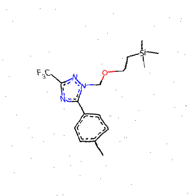 Cc1ccc(-c2nc(C(F)(F)F)nn2COCC[Si](C)(C)C)cc1